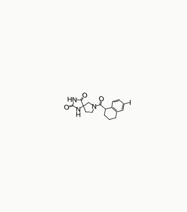 O=C1NC(=O)C2(CCN(C(=O)C3CCCc4cc(I)ccc43)C2)N1